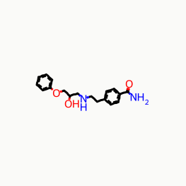 NC(=O)c1ccc(CCNCC(O)COc2ccccc2)cc1